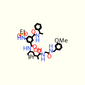 CCS(=O)(=O)Nc1cc(C(=O)NC(C)c2ccccc2)cc(C(=O)NC(CC(C)C)C(O)CC(C)C(=O)NCC(=O)NCc2cccc(OC)c2)c1